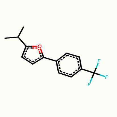 CC(C)c1ccc(-c2ccc(C(F)(F)F)cc2)o1